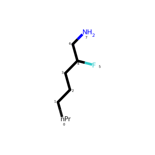 CCCCCCC(F)CN